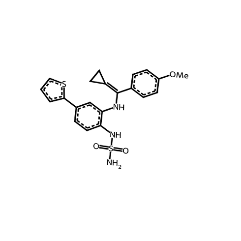 COc1ccc(C(Nc2cc(-c3cccs3)ccc2NS(N)(=O)=O)=C2CC2)cc1